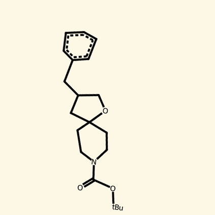 CC(C)(C)OC(=O)N1CCC2(CC1)CC(Cc1ccccc1)CO2